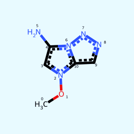 COn1cc(N)n2nncc12